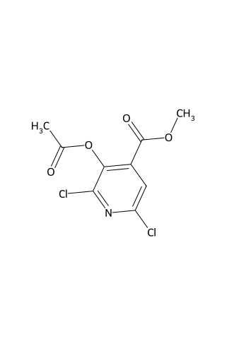 COC(=O)c1cc(Cl)nc(Cl)c1OC(C)=O